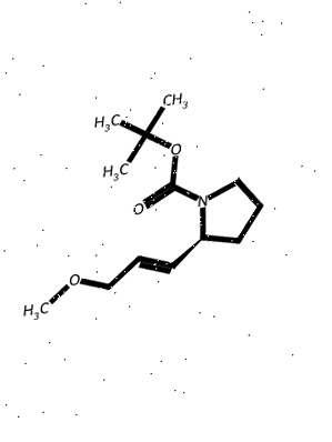 COC/C=C/[C@@H]1CCCN1C(=O)OC(C)(C)C